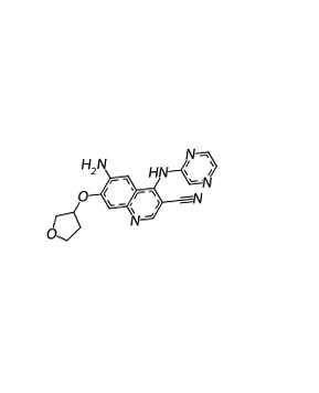 N#Cc1cnc2cc(OC3CCOC3)c(N)cc2c1Nc1cnccn1